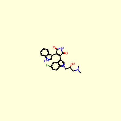 CN(C)CC(O)Cn1cc(C2=C(c3c[nH]c4ccccc34)C(=O)NC2=O)c2cc(F)ccc21